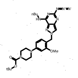 CCCCNc1nc(N=[N+]=[N-])nc2cn(Cc3ccc(N4CCN(C(=O)OC(C)(C)C)CC4)cc3OC)nc12